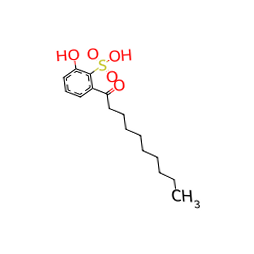 CCCCCCCCCC(=O)c1cccc(O)c1S(=O)(=O)O